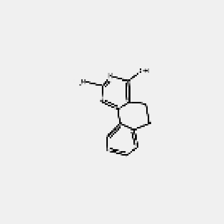 Nc1nc(O)c2c(n1)-c1ccccc1CC2